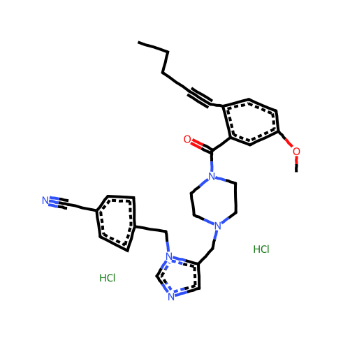 CCCC#Cc1ccc(OC)cc1C(=O)N1CCN(Cc2cncn2Cc2ccc(C#N)cc2)CC1.Cl.Cl